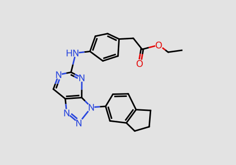 CCOC(=O)Cc1ccc(Nc2ncc3nnn(-c4ccc5c(c4)CCC5)c3n2)cc1